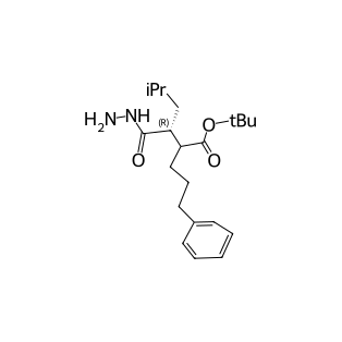 CC(C)C[C@@H](C(=O)NN)C(CCCc1ccccc1)C(=O)OC(C)(C)C